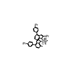 CC1=Cc2c(-c3ccc(C(C)C)cc3)ccc(C)c2[CH]1[Zr]([Cl])([Cl])([CH]1C(C(C)C)=Cc2c(-c3ccc(C(C)C)cc3)cccc21)[SiH](C)C